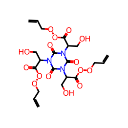 C=CCOOC(=O)C(CO)n1c(=O)n(C(CO)C(=O)OOCC=C)c(=O)n(C(CO)C(=O)OOCC=C)c1=O